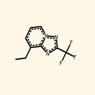 CCc1cccn2nc(C(F)(F)F)nc12